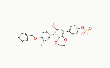 COc1cc(-c2ccc(OS(C)(=O)=O)cc2)c2c(c1-c1ccc(OCc3ccccc3)c(F)c1)OCCO2